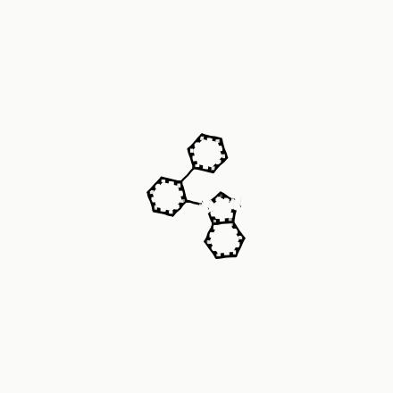 c1ccc(-c2ccccc2-n2cnc3ccccc32)cc1